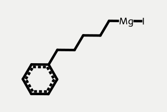 [I][Mg][CH2]CCCCc1ccccc1